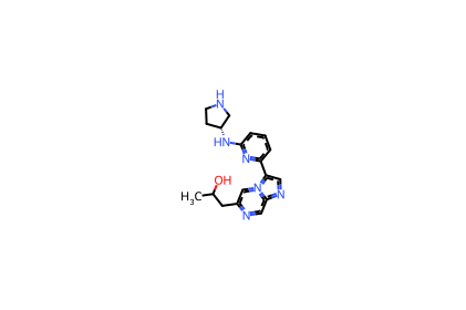 CC(O)Cc1cn2c(-c3cccc(N[C@@H]4CCNC4)n3)cnc2cn1